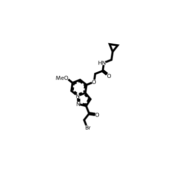 COc1cc(OCC(=O)NCC2CC2)c2cc(C(=O)CBr)nn2c1